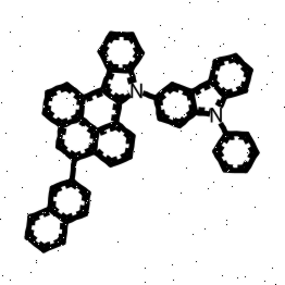 c1ccc(-n2c3ccccc3c3cc(-n4c5ccccc5c5c6cccc7cc(-c8ccc9ccccc9c8)c8cccc(c8c76)c54)ccc32)cc1